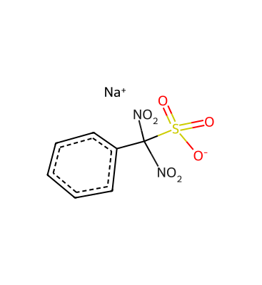 O=[N+]([O-])C(c1ccccc1)([N+](=O)[O-])S(=O)(=O)[O-].[Na+]